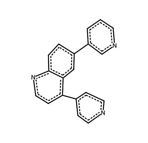 c1cncc(-c2ccc3nccc(-c4ccncc4)c3c2)c1